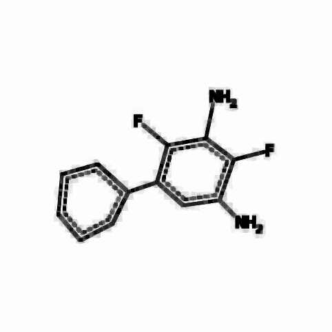 Nc1cc(-c2ccccc2)c(F)c(N)c1F